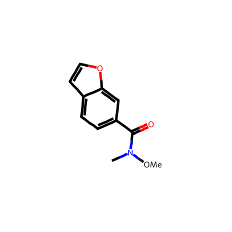 CON(C)C(=O)c1ccc2ccoc2c1